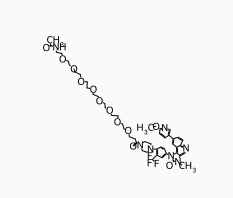 COc1ccc(-c2ccc3ncc4c(c3c2)n(-c2ccc(N3CCN(C(=O)CCOCCOCCOCCOCCOCCOCCOCCOCCNC(C)=O)CC3)c(C(F)(F)F)c2)c(=O)n4C)cn1